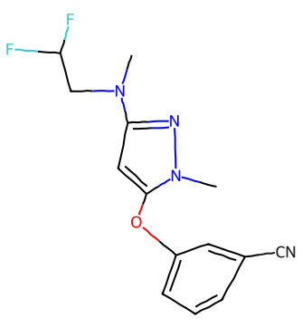 CN(CC(F)F)c1cc(Oc2cccc(C#N)c2)n(C)n1